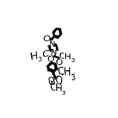 COC(=O)c1cccc(OC(C)C(=O)N2CCN(C(=O)c3ccccc3)CC2C)c1C